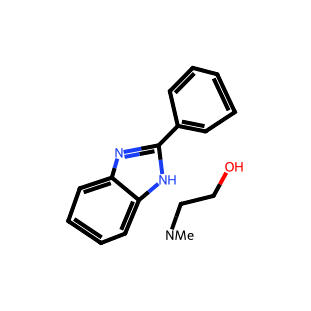 CNCCO.c1ccc(-c2nc3ccccc3[nH]2)cc1